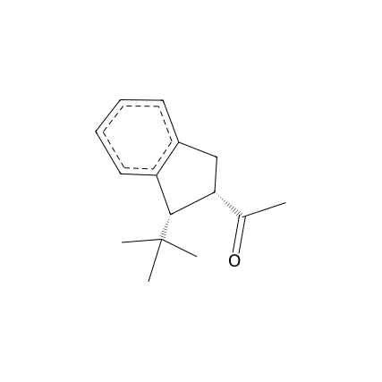 CC(=O)[C@H]1Cc2ccccc2[C@H]1C(C)(C)C